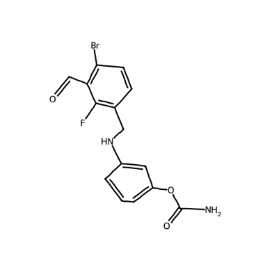 NC(=O)Oc1cccc(NCc2ccc(Br)c(C=O)c2F)c1